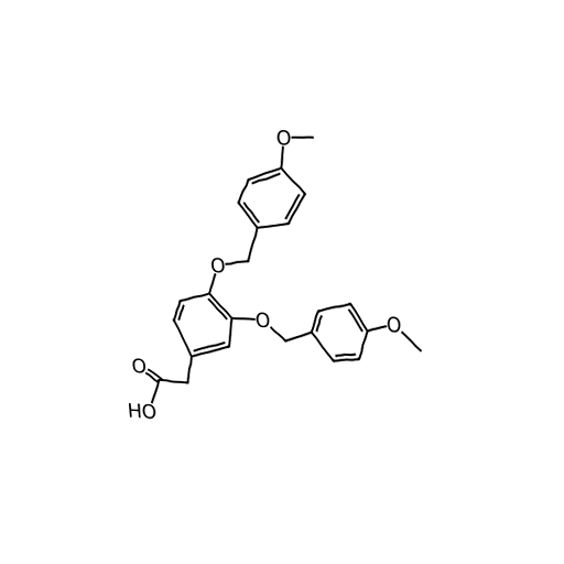 COc1ccc(COc2ccc(CC(=O)O)cc2OCc2ccc(OC)cc2)cc1